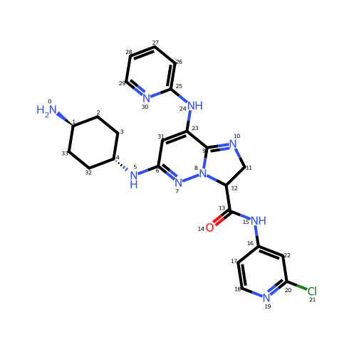 N[C@H]1CC[C@H](NC2=NN3C(=NCC3C(=O)Nc3ccnc(Cl)c3)C(Nc3ccccn3)=C2)CC1